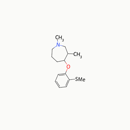 CSc1ccccc1OC1CCCN(C)CC1C